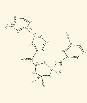 O=CC1(CNc2cccc(Cl)c2)CN(C(=O)c2cccc(-c3ccnc(Cl)c3)c2)CC(F)(F)C1